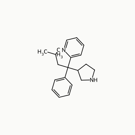 CC(C)CC(c1ccccc1)(c1ccccn1)C1CCNC1